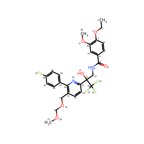 CCOc1ccc(C(=O)NCC(O)(c2ccc(COCOC)c(-c3ccc(F)cc3)n2)C(F)(F)F)cc1OC